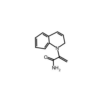 C=C(C(N)=O)N1CC=Cc2ccccc21